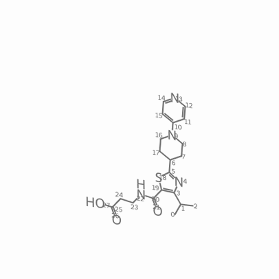 CC(C)c1nc(C2CCN(c3ccncc3)CC2)sc1C(=O)NCCC(=O)O